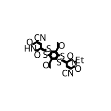 CCN1C(=O)C(C#N)=CC(=C2Sc3c(c(C4CO4)c4c(c3C3CO3)SC(=C3C=C(C#N)C(=O)NC3=O)S4)S2)C1=O